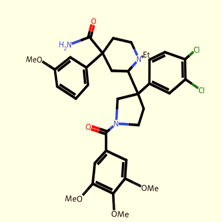 CCN1CCC(C(N)=O)(c2cccc(OC)c2)CC1C1(c2ccc(Cl)c(Cl)c2)CCN(C(=O)c2cc(OC)c(OC)c(OC)c2)C1